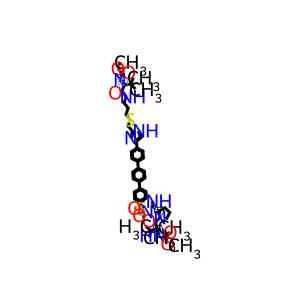 COC(=O)/N=C(/C(=O)NCCCSCc1nc(-c2ccc(-c3ccc(-c4ccc5c(c4)NC([C@@H]4CCCN4C(=O)[C@@](C)(NC(=O)OC)C(C)C)=NS5(=O)=O)cc3)cc2)c[nH]1)C(C)C